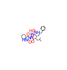 CC(C)C[C@@H](C(=O)NN1C(=O)NC2(CCCCC2)C1=O)[C@H](CCCc1ccccc1)C(=O)NO